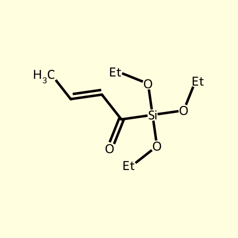 CC=CC(=O)[Si](OCC)(OCC)OCC